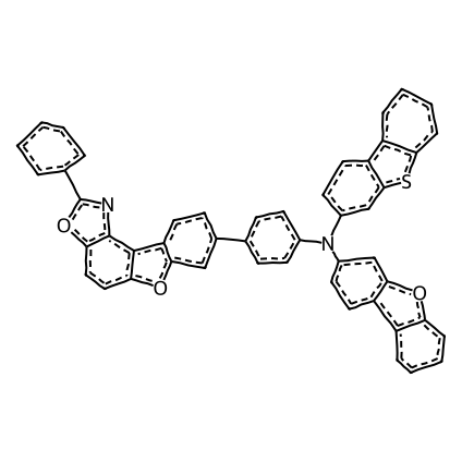 c1ccc(-c2nc3c(ccc4oc5cc(-c6ccc(N(c7ccc8c(c7)oc7ccccc78)c7ccc8c(c7)sc7ccccc78)cc6)ccc5c43)o2)cc1